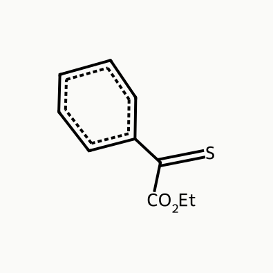 CCOC(=O)C(=S)c1ccccc1